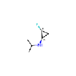 CC(C)N[C@@H]1C[C@@H]1F